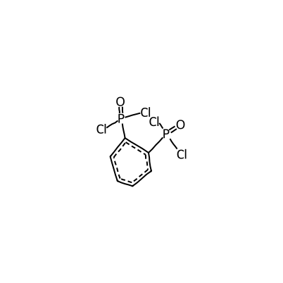 O=P(Cl)(Cl)c1ccccc1P(=O)(Cl)Cl